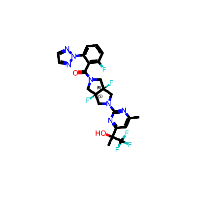 Cc1cc(C(C)(O)C(F)(F)F)nc(N2C[C@]3(F)CN(C(=O)c4c(F)cccc4-n4nccn4)C[C@]3(F)C2)n1